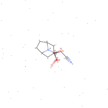 N#CCC1(C=O)CC2CCC(C1)N2C(=O)O